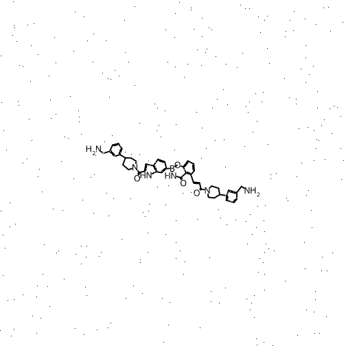 NCc1cccc(C2CCN(C(=O)C=Cc3cccc4c3C(=O)NB(c3ccc5cc(C(=O)N6CCC(c7cccc(CN)c7)CC6)[nH]c5c3)O4)CC2)c1